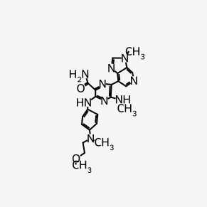 CNc1nc(Nc2ccc(N(C)CCOC)cc2)c(C(N)=O)nc1-c1cncc2c1ncn2C